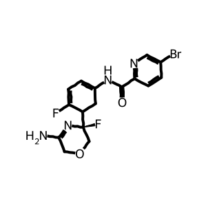 NC1=N[C@](F)(C2CC(NC(=O)c3ccc(Br)cn3)=CC=C2F)COC1